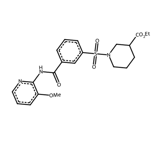 CCOC(=O)C1CCCN(S(=O)(=O)c2cccc(C(=O)Nc3ncccc3OC)c2)C1